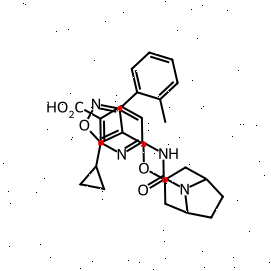 Cc1ccccc1-c1noc(C2CC2)c1COC1CC2CCC(C1)N2C(=O)Nc1ccc(C(=O)O)cn1